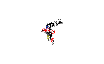 COCC#CC(=O)[C@](Cc1nccc2c1C[C@@H](CCC1CC1)C2)(OCOC)[C@@H](C)CSC